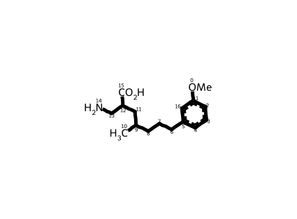 COc1cccc(CCCC(C)CC(CN)C(=O)O)c1